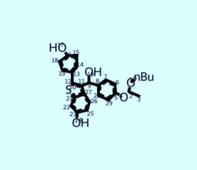 CCCCOC(C)Oc1ccc(C(O)c2c(-c3ccc(O)cc3)sc3cc(O)ccc23)cc1